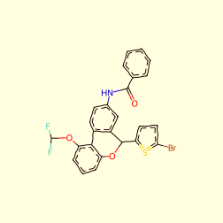 O=C(Nc1ccc2c(c1)C(c1ccc(Br)s1)Oc1cccc(OC(F)F)c1-2)c1ccccc1